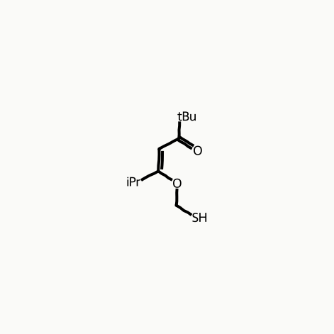 CC(C)/C(=C/C(=O)C(C)(C)C)OCS